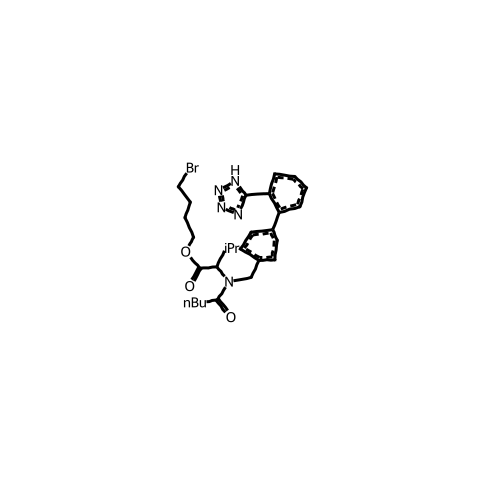 CCCCC(=O)N(Cc1ccc(-c2ccccc2-c2nnn[nH]2)cc1)C(C(=O)OCCCCBr)C(C)C